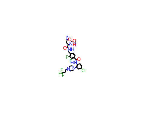 N#CCC(NC(=O)O)C(=O)NCc1ccc(C(=O)Nc2ccc(Cl)cc2N2CCN(CCC(F)(F)F)CC2)c(F)c1F